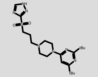 CC(C)(C)c1cc(N2CCN(CCCS(=O)(=O)c3nc[nH]n3)CC2)nc(C(C)(C)C)n1